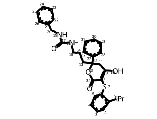 CC(C)c1ccccc1SC1=C(O)CC(CCCNC(=O)NCc2ccccc2)(c2ccccc2)OC1=O